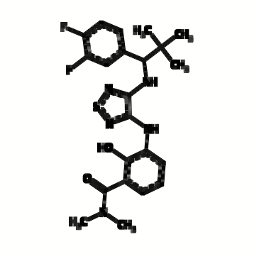 CN(C)C(=O)c1cccc(Nc2nsnc2NC(c2ccc(F)c(F)c2)C(C)(C)C)c1O